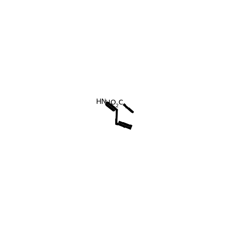 C=CC=N.CC(=O)O